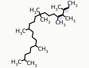 C/C=C(C)/C(C)=C(/C)CCCC(C)(C)CCCC(C)CCCC(C)CCCC(C)C